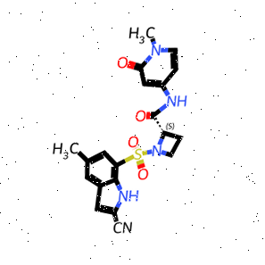 Cc1cc(S(=O)(=O)N2CC[C@H]2C(=O)Nc2ccn(C)c(=O)c2)c2[nH]c(C#N)cc2c1